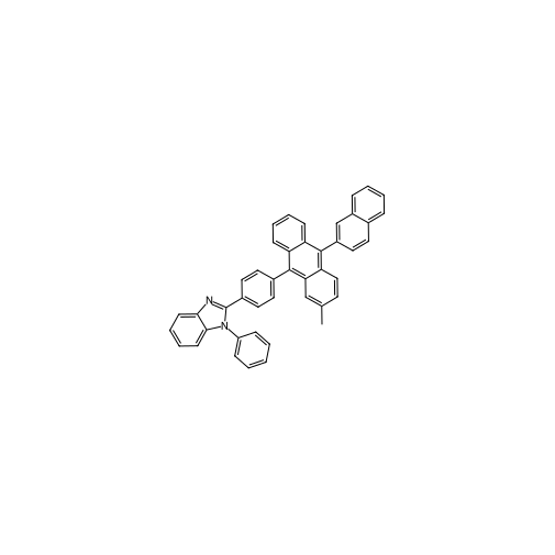 Cc1ccc2c(-c3ccc4ccccc4c3)c3ccccc3c(-c3ccc(-c4nc5ccccc5n4-c4ccccc4)cc3)c2c1